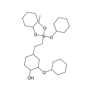 CCO[Si](CCC1CCC(O)C(OC2CCCCC2)C1)(OC1CCCCC1)OC1CCCCC1